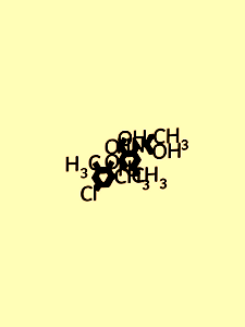 CCC(CO)Nc1cc(C)nc(Oc2c(C)cc(Cl)cc2C)c1C(=O)O